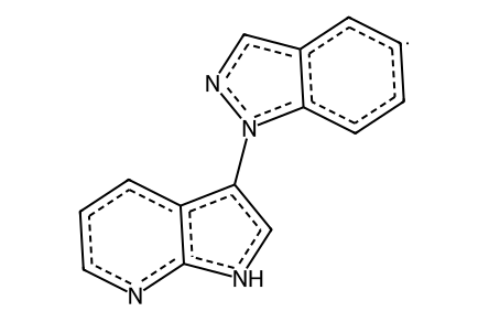 [c]1ccc2c(c1)cnn2-c1c[nH]c2ncccc12